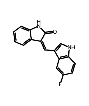 O=C1Nc2ccccc2C1=Cc1c[nH]c2ccc(F)cc12